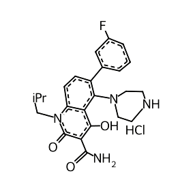 CC(C)Cn1c(=O)c(C(N)=O)c(O)c2c(N3CCNCC3)c(-c3cccc(F)c3)ccc21.Cl